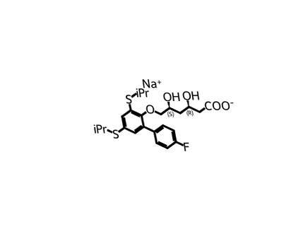 CC(C)Sc1cc(SC(C)C)c(OC[C@@H](O)C[C@@H](O)CC(=O)[O-])c(-c2ccc(F)cc2)c1.[Na+]